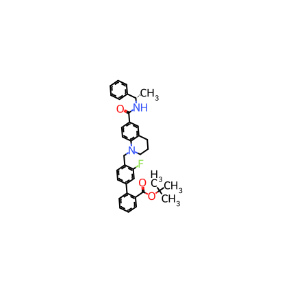 C[C@H](NC(=O)c1ccc2c(c1)CCCN2Cc1ccc(-c2ccccc2C(=O)OC(C)(C)C)cc1F)c1ccccc1